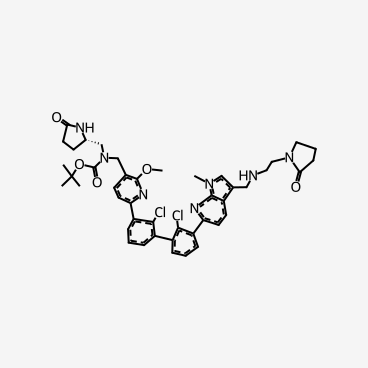 COc1nc(-c2cccc(-c3cccc(-c4ccc5c(CNCCN6CCCC6=O)cn(C)c5n4)c3Cl)c2Cl)ccc1CN(C[C@@H]1CCC(=O)N1)C(=O)OC(C)(C)C